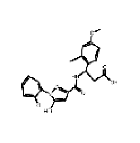 COc1ccc(C(CC(=O)O)NC(=O)c2cc(O)n(-c3ccccc3Cl)n2)c(C)c1